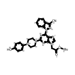 CC(C)(C)OC(=O)Cn1cnc2c(-n3nc(C#N)c4ccccc43)nc(N3CCN(c4ccc(O)cc4)CC3)nc21